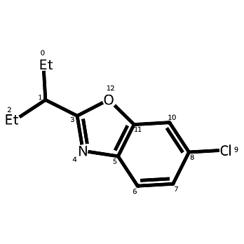 CCC(CC)c1nc2ccc(Cl)cc2o1